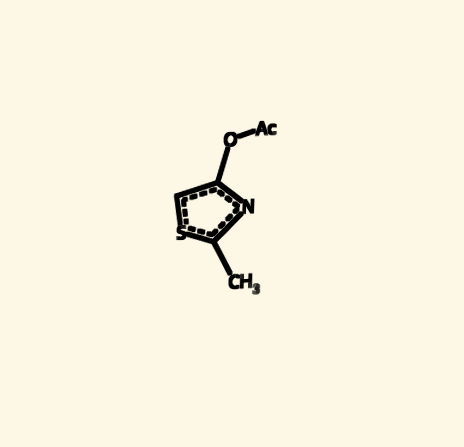 CC(=O)Oc1csc(C)n1